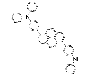 c1ccc(Nc2ccc(-c3ccc4ccc5c(-c6ccc(N(c7ccccc7)c7ccccc7)cc6)ccc6ccc3c4c65)cc2)cc1